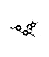 CCN1Cc2c(ccnc2N[C@@H](C)c2ccc(Oc3cccc(C)c3)cc2)C1=O